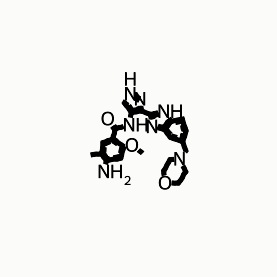 COc1cc(N)c(C)cc1C(=O)Nc1c[nH]nc1-c1nc2cc(CN3CCOCC3)ccc2[nH]1